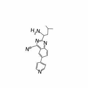 CC(C)CC(N)c1nc(C#N)c2cc(-c3ccncc3)ccc2n1